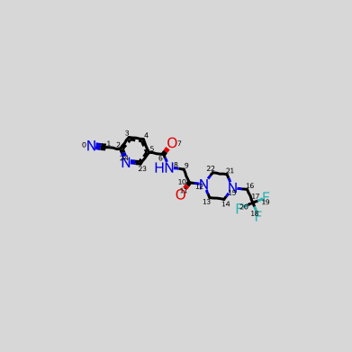 N#Cc1ccc(C(=O)NCC(=O)N2CCN(CC(F)(F)F)CC2)cn1